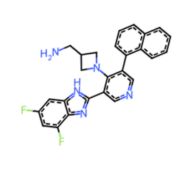 NCC1CN(c2c(-c3nc4c(F)cc(F)cc4[nH]3)cncc2-c2cccc3ccccc23)C1